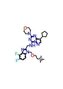 C[Si](C)(C)CCOCn1c(CNc2nc(N3CCOCC3)nc3c(C4CCCC4)cnn23)nc2c(F)c(F)ccc21